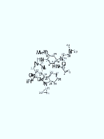 C=CC(=O)Nc1cc(Nc2ncc(S(=O)(=O)C(C)C)c(-c3cn(C4CC4)c4ccccc34)n2)c(OC)cc1N(C)CCN(C)C